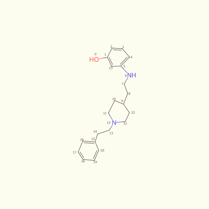 Oc1cccc(NCCC2CCN(CCc3ccccc3)CC2)c1